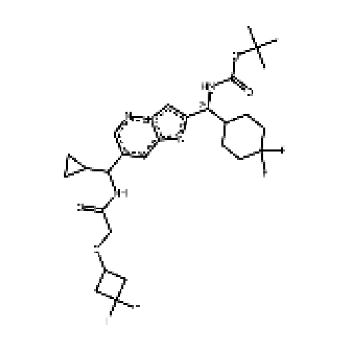 CC(C)(C)OC(=O)N[C@H](c1cn2ncc(C(NC(=O)COC3CC(F)(F)C3)C3CC3)cc2n1)C1CCC(F)(F)CC1